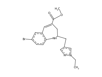 CCn1cc(CC2CC(C(=O)OC)=Cc3cc(Br)ccc3N2)cn1